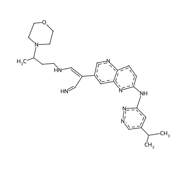 CC(C)c1cnnc(Nc2ccc3ncc(/C(C=N)=C/NCCC(C)N4CCOCC4)cc3n2)c1